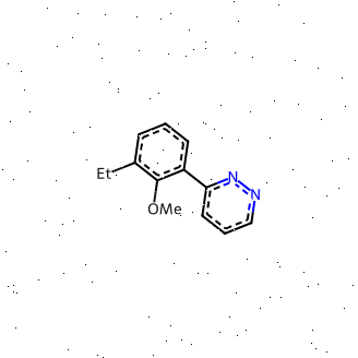 CCc1cccc(-c2cccnn2)c1OC